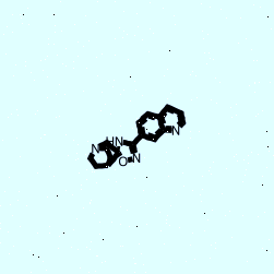 c1cnc2cc(C3=NO[C@]4(CN5CCC4CC5)N3)ccc2c1